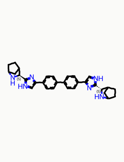 c1cc(-c2c[nH]c([C@H]3NC4CCC3C4)n2)ccc1-c1ccc(-c2c[nH]c([C@H]3NC4CCC3C4)n2)cc1